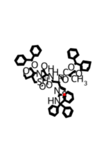 CC(C)(ON=C(C(=O)NC1C(=O)N2C(C(=O)OC(c3ccccc3)c3ccccc3)=C(CI)C[S+]([O-])[C@@H]12)c1csc(NC(c2ccccc2)(c2ccccc2)c2ccccc2)n1)C(=O)OC(c1ccccc1)c1ccccc1